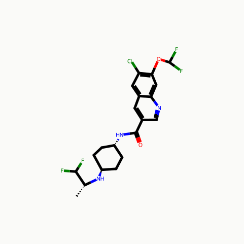 C[C@@H](N[C@H]1CC[C@H](NC(=O)c2cnc3cc(OC(F)F)c(Cl)cc3c2)CC1)C(F)F